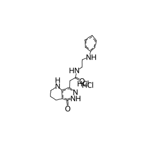 Cl.Cl.O=C(Cc1n[nH]c(=O)c2c1NCCC2)NCCNc1ccccc1